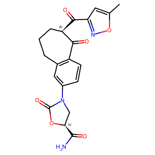 Cc1cc(C(=O)[C@@H]2CCCc3cc(N4C[C@@H](C(N)=O)OC4=O)ccc3C2=O)no1